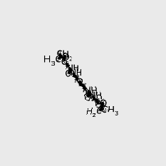 C=C(C)C(=O)OCCNC(=O)NCCCOCCCNC(=O)NCCOC(=O)C(=C)C